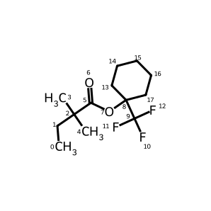 CCC(C)(C)C(=O)OC1(C(F)(F)F)CCCCC1